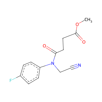 COC(=O)CCC(=O)N(CC#N)c1ccc(F)cc1